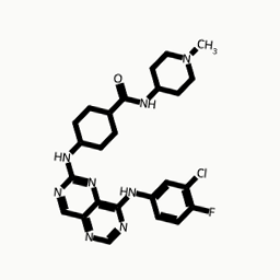 CN1CCC(NC(=O)C2CCC(Nc3ncc4ncnc(Nc5ccc(F)c(Cl)c5)c4n3)CC2)CC1